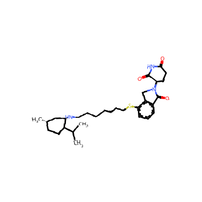 CC(C)C1CC[C@H](C)C[C@@H]1NCCCCCCCSc1cccc2c1CN(C1CCC(=O)NC1=O)C2=O